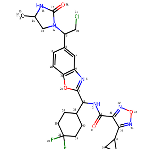 O=C(NC(c1nc2cc(C(CCl)N3CC(C(F)(F)F)NC3=O)ccc2o1)C1CCC(F)(F)CC1)c1nonc1C1CC1